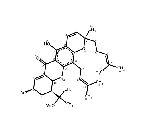 COC(C)(C)[C@H]1C[C@@H](C(C)=O)C=C2C(=O)c3c(O)c4c(c(CC=C(C)C)c3OC21)O[C@](C)(CCC=C(C)C)C=C4